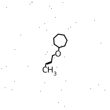 CC=CCOC1CCCCCC1